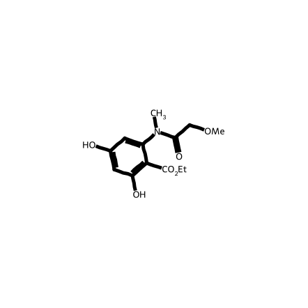 CCOC(=O)c1c(O)cc(O)cc1N(C)C(=O)COC